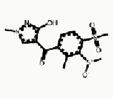 Cc1c(C(=O)c2cn(C)nc2O)ccc(S(C)(=O)=O)c1[S+](C)[O-]